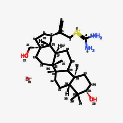 C=C(C[S+]=C(N)N)[C@@H]1CC[C@]2(CO)CC[C@]3(C)[C@H](CCC4[C@@]5(C)CC[C@H](O)C(C)(C)[C@@H]5CC[C@]43C)[C@@H]12.[Br-]